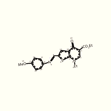 CCOC(=O)c1cn(CC)c2sc(/C=N/c3ccc(OC)cc3)cc2c1=O